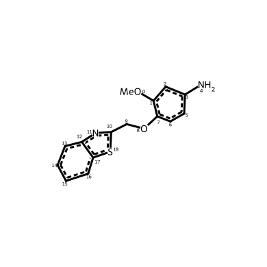 COc1cc(N)ccc1OCc1nc2ccccc2s1